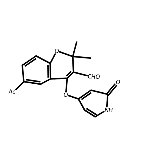 CC(=O)c1ccc2c(c1)C(Oc1cc[nH]c(=O)c1)=C(C=O)C(C)(C)O2